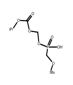 CC(C)OC(=O)OCOP(=O)(O)COC(C)(C)C